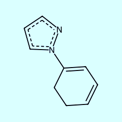 C1=CCCC(n2cccn2)=C1